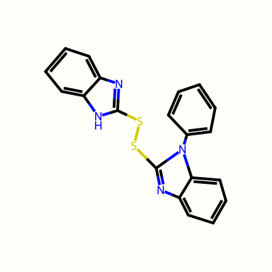 c1ccc(-n2c(SSc3nc4ccccc4[nH]3)nc3ccccc32)cc1